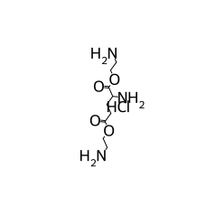 Cl.NCCOC(=O)CCC(N)C(=O)OCCN